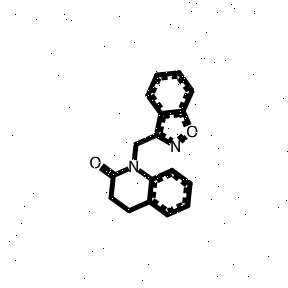 O=C1CCc2ccccc2N1Cc1noc2ccccc12